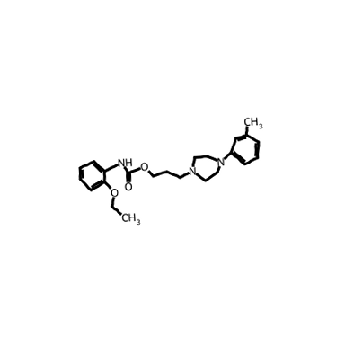 CCOc1ccccc1NC(=O)OCCCN1CCN(c2cccc(C)c2)CC1